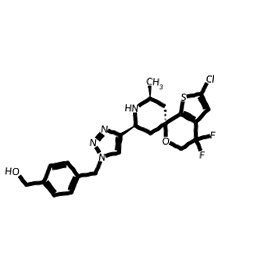 C[C@H]1C[C@@]2(C[C@@H](c3cn(Cc4ccc(CO)cc4)nn3)N1)OCC(F)(F)c1cc(Cl)sc12